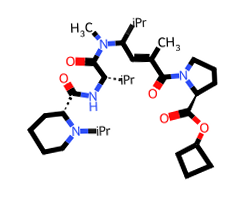 C/C(=C\C(C(C)C)N(C)C(=O)[C@@H](NC(=O)[C@H]1CCCCN1C(C)C)C(C)C)C(=O)N1CCC[C@H]1C(=O)OC1CCC1